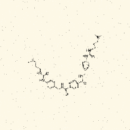 CB(C)CCCNC(=O)Nc1ccc(CNC(=O)c2ccc(C(=O)NCc3ccc(NC(=O)NCCCN(C)C)cc3)cc2)cc1